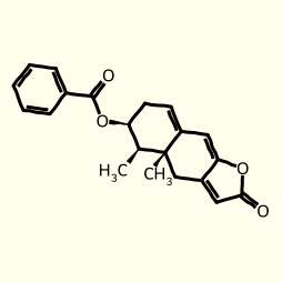 C[C@H]1[C@@H](OC(=O)c2ccccc2)CC=C2C=C3OC(=O)C=C3C[C@@]21C